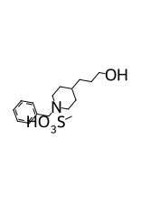 CS(=O)(=O)O.OCCCC1CCN(Cc2ccccc2)CC1